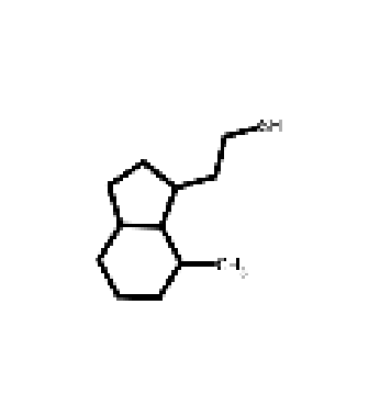 CC1CCCC2CCC(CCS)C12